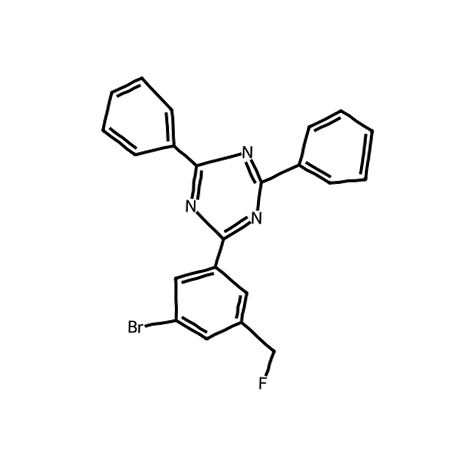 FCc1cc(Br)cc(-c2nc(-c3ccccc3)nc(-c3ccccc3)n2)c1